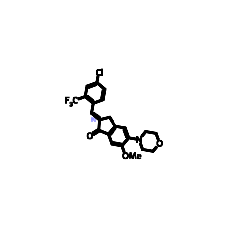 COc1cc2c(cc1N1CCOCC1)C/C(=C\c1ccc(Cl)cc1C(F)(F)F)C2=O